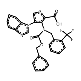 O=C(O)c1scc(-n2cnc3ccccc32)c1N(Cc1ccccc1C(F)(F)F)C(=O)OCc1ccccc1